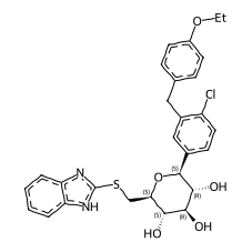 CCOc1ccc(Cc2cc([C@@H]3O[C@H](CSc4nc5ccccc5[nH]4)[C@@H](O)[C@H](O)[C@H]3O)ccc2Cl)cc1